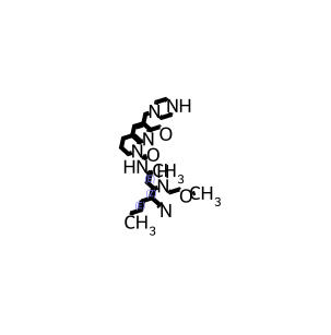 CC/C=C/C(C#N)=C(\C=C(/C)NC(=O)N1CCCc2cc(CN3CCNCC3)c(C=O)nc21)NCCOC